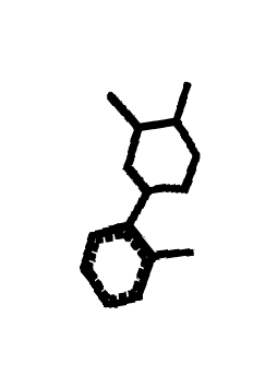 Cc1ccccc1C1CCC(C)C(C)C1